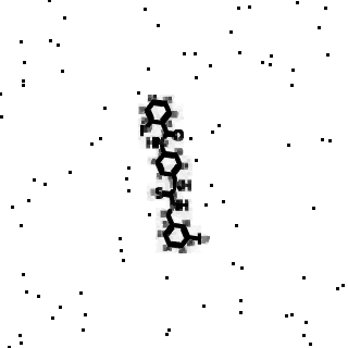 O=C(Nc1ccc(NC(=S)NCc2cccc(I)c2)cc1)c1ccccc1F